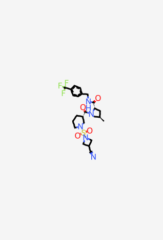 C[C@@H]1C[C@@H](C(=O)NCc2ccc(C(F)(F)F)cc2)N(C(=O)[C@H]2CCCN(S(=O)(=O)N3CC(C#N)C3)C2)C1